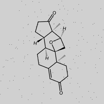 C[C@@]12C(=O)CC[C@H]1[C@@H]1CCC3=CC(=O)CC[C@]3(C)[C@]13C[C@H]2O3